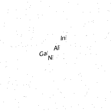 [Al].[Ga].[In].[N]